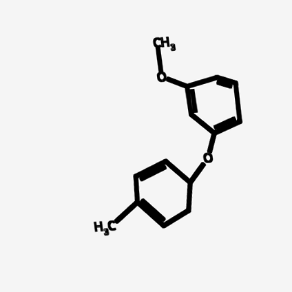 COc1cccc(OC2C=CC(C)=CC2)c1